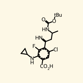 CC(CC(=N)c1c(Cl)cc(C(=O)O)c(NC2CC2)c1F)NC(=O)OC(C)(C)C